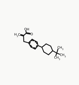 C=C(Cc1ccc(C2CCC(C(C)(C)C)CC2)cc1)C(=O)O